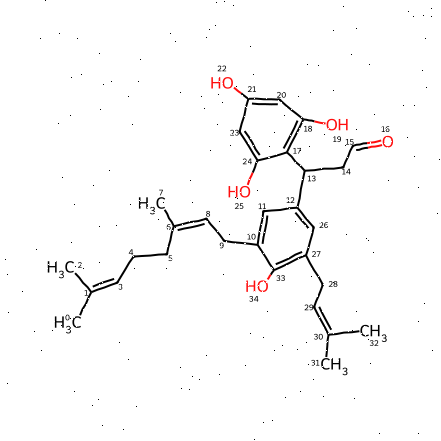 CC(C)=CCCC(C)=CCc1cc(C(CC=O)c2c(O)cc(O)cc2O)cc(CC=C(C)C)c1O